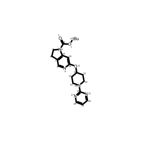 CC(C)(C)OC(=O)N1CCc2cnc(OC3CCN(c4ncccn4)CC3)cc21